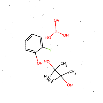 CC(C)(O)C(C)(C)O.OB(O)O.Oc1ccccc1F